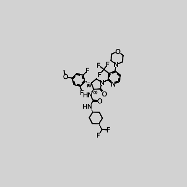 COc1cc(F)c([C@@H]2CN(c3nccc(N4CCOCC4)c3C(F)(F)F)C(=O)[C@H]2NC(=O)N[C@H]2CC[C@H](C(F)F)CC2)c(F)c1